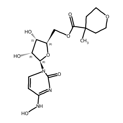 CC1(C(=O)OC[C@H]2O[C@@H](n3ccc(NO)nc3=O)[C@H](O)[C@@H]2O)CCOCC1